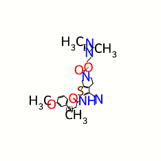 COc1cccc([C@@H](C)CC(=O)Nc2sc3c(c2C#N)CCN(C(=O)OCCn2cc(C)nc2C)C3)c1